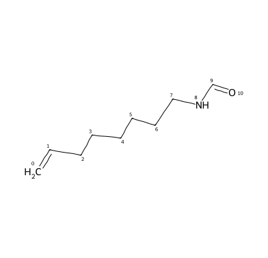 C=CCCCCCCNC=O